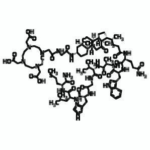 CSCC[C@H](NC(=O)[C@H](CC(C)C)NC(=O)[C@H](Cc1c[nH]cn1)NC(=O)CNC(=O)[C@@H](NC(=O)C(C)NC(=O)[C@H](Cc1c[nH]c2ccccc12)NC(=O)[C@H](CCC(N)=O)NC(=O)CC[C@@H](C)[C@H]1CC[C@H]2[C@@H]3CC[C@@H]4C[C@@H](NC(=O)CNC(=O)CN5CCN(CC(=O)O)CCN(CC(=O)O)CCN(CC(=O)O)CC5)CC[C@]4(C)[C@H]3CC(=O)[C@]12C)C(C)C)C(N)=O